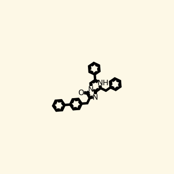 O=c1c(Cc2ccc(-c3ccccc3)cc2)nc2c(Cc3ccccc3)[nH]c(-c3ccccc3)cn1-2